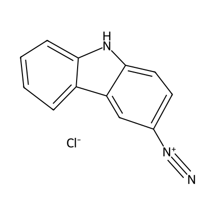 N#[N+]c1ccc2[nH]c3ccccc3c2c1.[Cl-]